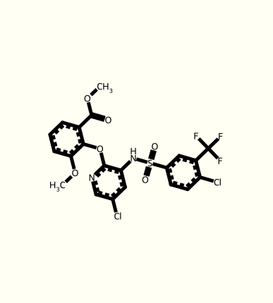 COC(=O)c1cccc(OC)c1Oc1ncc(Cl)cc1NS(=O)(=O)c1ccc(Cl)c(C(F)(F)F)c1